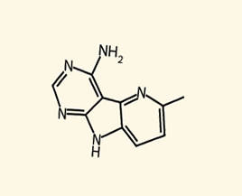 Cc1ccc2[nH]c3ncnc(N)c3c2n1